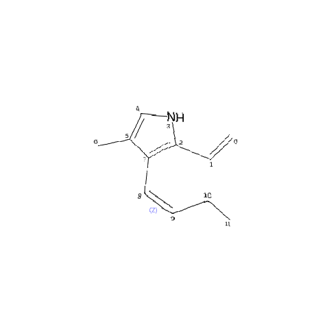 C=Cc1[nH]cc(C)c1/C=C\CC